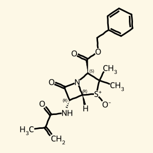 C=C(C)C(=O)N[C@@H]1C(=O)N2[C@@H]1[S+]([O-])C(C)(C)[C@@H]2C(=O)OCc1ccccc1